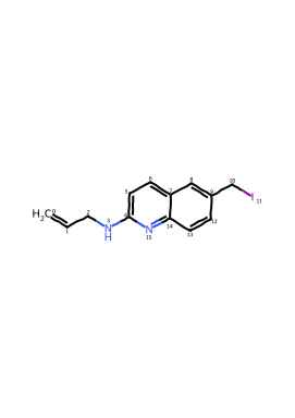 C=CCNc1ccc2cc(CI)ccc2n1